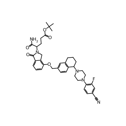 CC(C)(C)OC(=O)CCC(C(N)=O)N1Cc2c(OCc3ccc4c(c3)CCCC4N3CCN(c4ccc(C#N)cc4F)CC3)cccc2C1=O